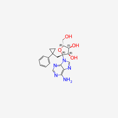 Nc1ncnc2c1ncn2[C@]1(CC2(c3ccccc3)CC2)O[C@H](CO)[C@@H](O)[C@H]1O